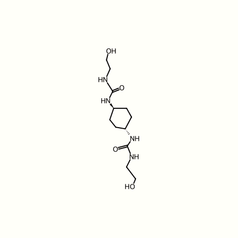 O=C(NCCO)N[C@H]1CC[C@H](NC(=O)NCCO)CC1